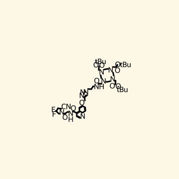 CC(C)(C)OC(=O)CN1CCN(CC(=O)NCCCn2cc(COc3ccc4nccc(C(=O)NCC(=O)N5CC(F)(F)C[C@H]5C#N)c4c3)nn2)CCN(CC(=O)OC(C)(C)C)CCN(CC(=O)OC(C)(C)C)CC1